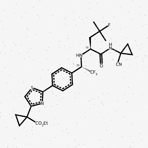 CCOC(=O)C1(c2csc(-c3ccc([C@H](N[C@@H](CC(C)(C)F)C(=O)NC4(C#N)CC4)C(F)(F)F)cc3)n2)CC1